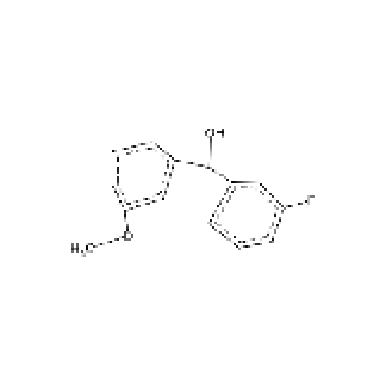 COc1cccc(C(O)c2cccc(F)c2)c1